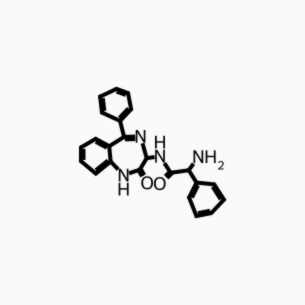 NC(C(=O)NC1N=C(c2ccccc2)c2ccccc2NC1=O)c1ccccc1